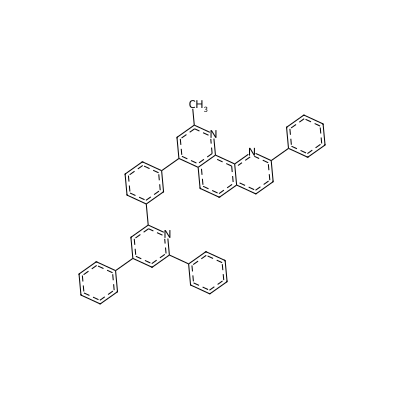 Cc1cc(-c2cccc(-c3cc(-c4ccccc4)cc(-c4ccccc4)n3)c2)c2ccc3ccc(-c4ccccc4)nc3c2n1